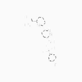 C=C(N)c1cccc(-c2ccc(NCC(C)(C)c3ccc(F)cc3)nn2)n1